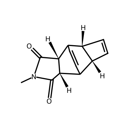 CN1C(=O)[C@@H]2C3C=CC([C@H]4C=C[C@@H]34)[C@@H]2C1=O